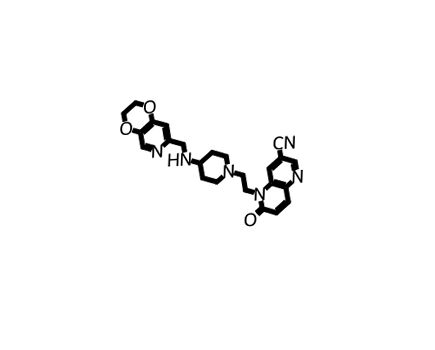 N#Cc1cnc2ccc(=O)n(CCN3CCC(NCc4cc5c(cn4)OCCO5)CC3)c2c1